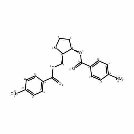 O=C(OC[C@H]1OCC[C@H]1OC(=O)c1ccc([N+](=O)[O-])cc1)c1ccc([N+](=O)[O-])cc1